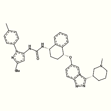 Cc1ccc(-n2nc(C(C)(C)C)cc2NC(=O)N[C@H]2CC[C@@H](Oc3ccc4nnc([C@H]5CCCN(C)C5)n4c3)c3ccccc32)cc1